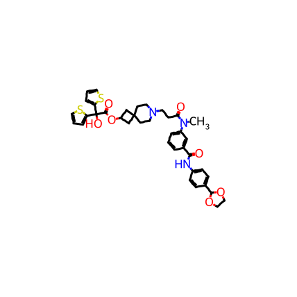 CN(C(=O)CCN1CCC2(CC1)CC(OC(=O)C(O)(c1cccs1)c1cccs1)C2)c1cccc(C(=O)Nc2ccc(C3OCCO3)cc2)c1